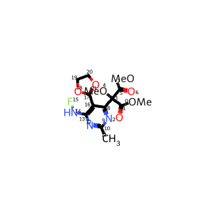 COC(=O)C(OC)(C(=O)OC)c1nc(C)nc(NF)c1C1OCCO1